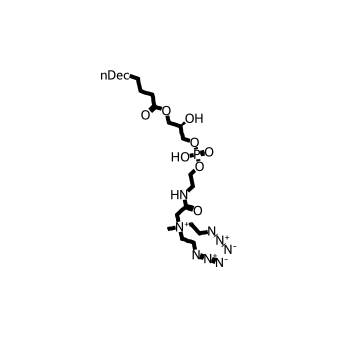 CCCCCCCCCCCCCC(=O)OC[C@@H](O)COP(=O)(O)OCCNC(=O)C[N+](C)(CCN=[N+]=[N-])CCN=[N+]=[N-]